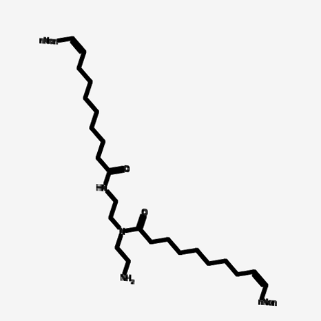 CCCCCCCCC/C=C\CCCCCCCC(=O)NCCN(CCN)C(=O)CCCCCCC/C=C\CCCCCCCCC